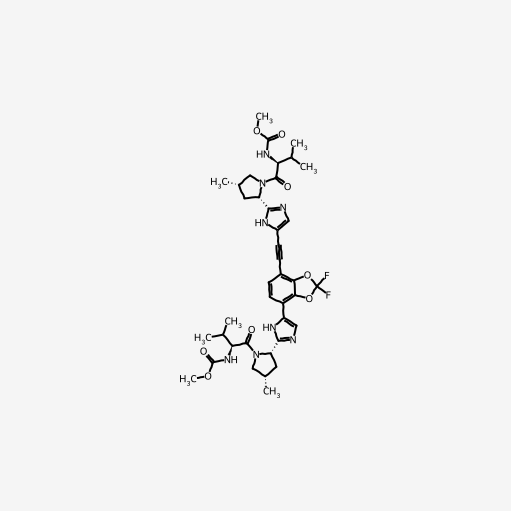 COC(=O)N[C@H](C(=O)N1C[C@@H](C)C[C@H]1c1ncc(C#Cc2ccc(-c3cnc([C@@H]4C[C@H](C)CN4C(=O)[C@@H](NC(=O)OC)C(C)C)[nH]3)c3c2OC(F)(F)O3)[nH]1)C(C)C